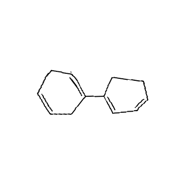 [C]1=C(C2=CC=CCC2)CC=CC1